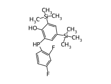 C[Si](C)(C)c1cc(Pc2ccc(F)cc2F)c(O)c([Si](C)(C)C)c1